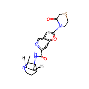 C[C@H]1[C@H](NC(=O)c2cc3oc(N4CCSCC4=O)cc3cn2)C2CCN1CC2